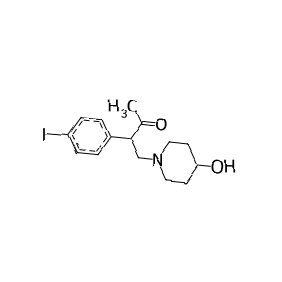 CC(=O)C(CN1CCC(O)CC1)c1ccc(I)cc1